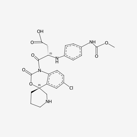 COC(=O)Nc1ccc(N[C@@H](CC(=O)O)C(=O)N2C(=O)O[C@]3(CCCNC3)c3cc(Cl)ccc32)cc1